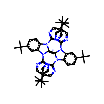 CC(C)(C)c1cnc(N2/C(=C3/N(c4ncc(C(C)(C)C)cn4)c4ccc(C(C)(C)C)cc4N3c3ncc(C(C)(C)C)cn3)N(c3ncc(C(C)(C)C)cn3)c3cc(C(C)(C)C)ccc32)nc1